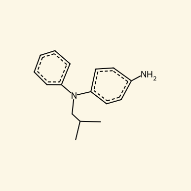 CC(C)CN(c1ccccc1)c1ccc(N)cc1